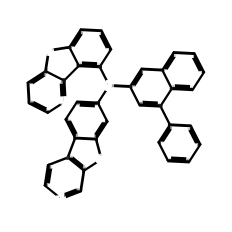 c1ccc(-c2cc(N(c3ccc4c(c3)oc3cnccc34)c3cccc4oc5cccnc5c34)cc3ccccc23)cc1